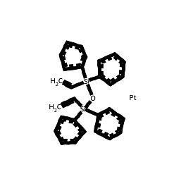 C=C[Si](O[Si](C=C)(c1ccccc1)c1ccccc1)(c1ccccc1)c1ccccc1.[Pt]